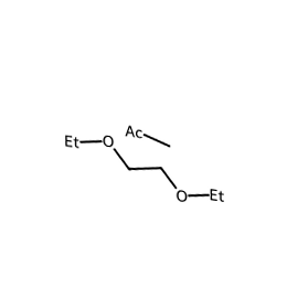 CC(C)=O.CCOCCOCC